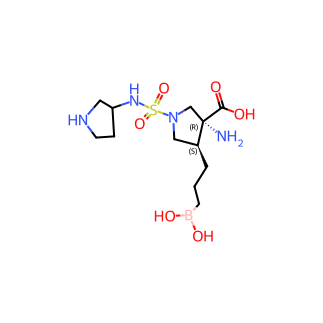 N[C@@]1(C(=O)O)CN(S(=O)(=O)NC2CCNC2)C[C@@H]1CCCB(O)O